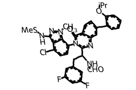 CSNc1nn(C)c2c(-n3c(C(Cc4cc(F)cc(F)c4)NC=O)nc4cc(-c5ccccc5OC(C)C)ccc4c3=O)ccc(Cl)c12